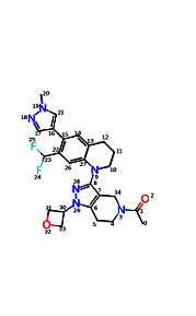 CC(=O)N1CCc2c(c(N3CCCc4cc(-c5cnn(C)c5)c(C(F)F)cc43)nn2C2COC2)C1